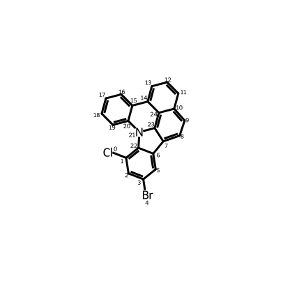 Clc1cc(Br)cc2c3ccc4cccc5c6ccccc6n(c12)c3c45